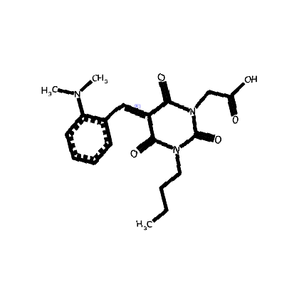 CCCCN1C(=O)/C(=C\c2ccccc2N(C)C)C(=O)N(CC(=O)O)C1=O